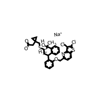 CC(C)(O)c1ccccc1C(CCSCC1(CC(=O)[O-])CC1)c1ccccc1OCc1ccc2sc(Cl)c(Cl)c2n1.[Na+]